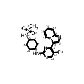 CS(=O)(=O)N[C@H]1CC[C@H](Nc2ncc(F)c(-c3cnc4ccccn34)n2)CC1